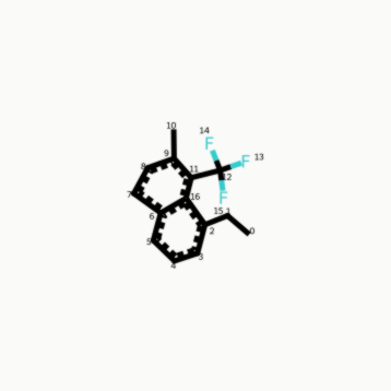 CCc1cccc2ccc(C)c(C(F)(F)F)c12